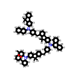 Cc1ccc(N(c2ccc3c(c2)C(C)(C)c2cc(Cc4ccc(N(c5ccc6c(c5)C(C)(C)c5c(Cc7ccc(N(c8ccc9c(c8)C(C)(C)c8ccccc8-9)c8ccc9ccccc9c8)cc7)cccc5-6)c5cc6ccccc6c6ccccc56)cc4)ccc2-3)c2ccccc2-c2ccccc2)cc1